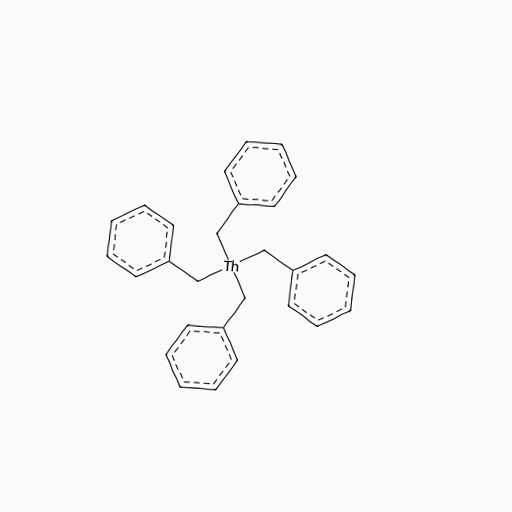 c1ccc([CH2][Th]([CH2]c2ccccc2)([CH2]c2ccccc2)[CH2]c2ccccc2)cc1